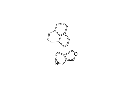 C1=Cc2cccc3cccc(c23)C1.c1cc2cocc2cn1